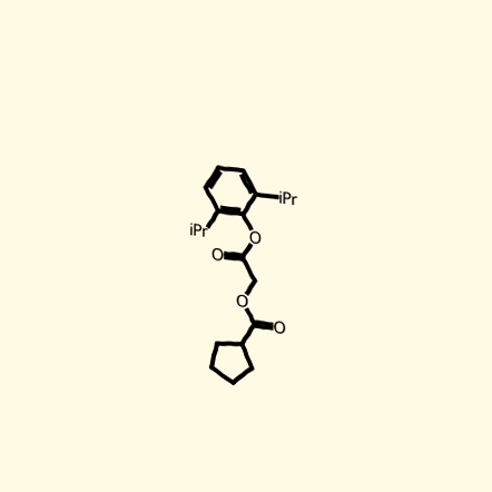 CC(C)c1cccc(C(C)C)c1OC(=O)COC(=O)C1CCCC1